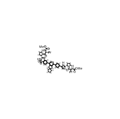 COC(=O)NC(C(=O)N1CCC[C@H]1c1ncc(-c2ccc(-c3ncc(-c4ccc5c(c4)N=C([C@@H]4CCCN4C(=O)[C@@H](NC(=O)OC)C(C)C)NS5(=O)=O)c4c3CC3(CCCC3)C4)cc2)[nH]1)C(C)C